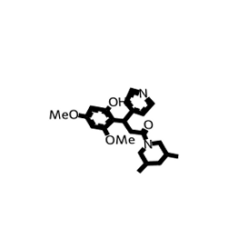 COc1cc(O)c(C(CC(=O)N2CC(C)CC(C)C2)c2ccncc2)c(OC)c1